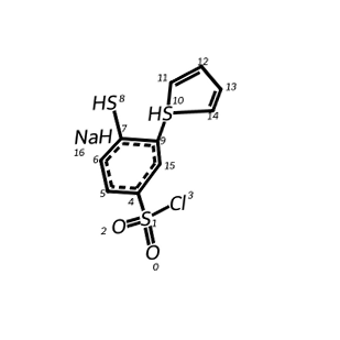 O=S(=O)(Cl)c1ccc(S)c([SH]2C=CC=C2)c1.[NaH]